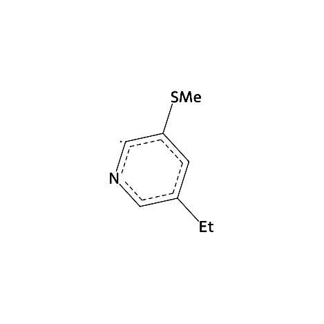 CCc1cn[c]c(SC)c1